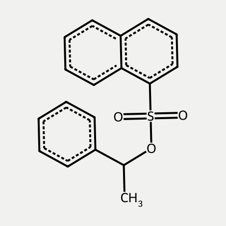 CC(OS(=O)(=O)c1cccc2ccccc12)c1ccccc1